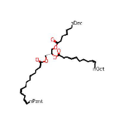 CCCCC/C=C\C/C=C\CCCCCCCC(=O)OC[C@H](COC(=O)CCCCCCCCCCCCCCC)OC(=O)CCCCCCC/C=C\CCCCCCCC